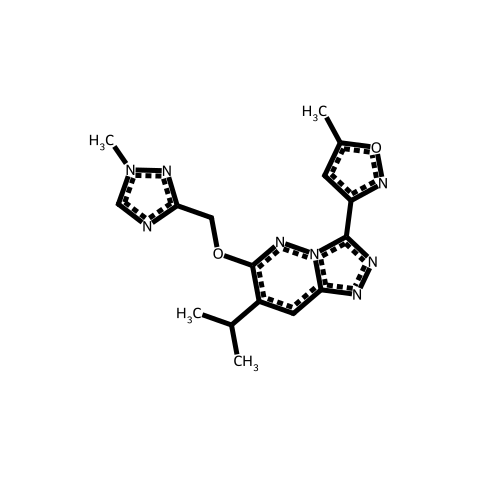 Cc1cc(-c2nnc3cc(C(C)C)c(OCc4ncn(C)n4)nn23)no1